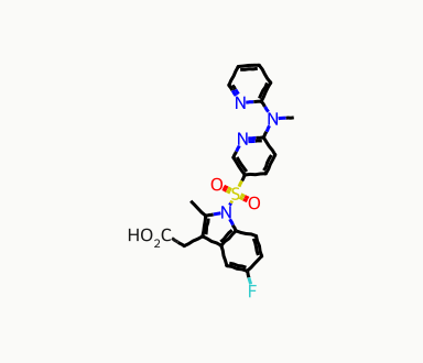 Cc1c(CC(=O)O)c2cc(F)ccc2n1S(=O)(=O)c1ccc(N(C)c2ccccn2)nc1